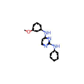 COc1cccc(Nc2ccnc(Nc3ccccc3)n2)c1